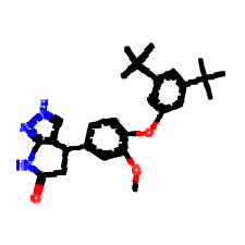 COc1cc(C2CC(=O)Nc3n[nH]cc32)ccc1Oc1cc(C(C)(C)C)cc(C(C)(C)C)c1